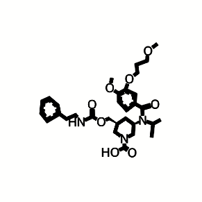 COCCCOc1cc(C(=O)N(C(C)C)[C@@H]2C[C@H](COC(=O)NCCc3ccccc3)CN(C(=O)O)C2)ccc1OC